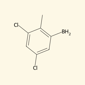 Bc1cc(Cl)cc(Cl)c1C